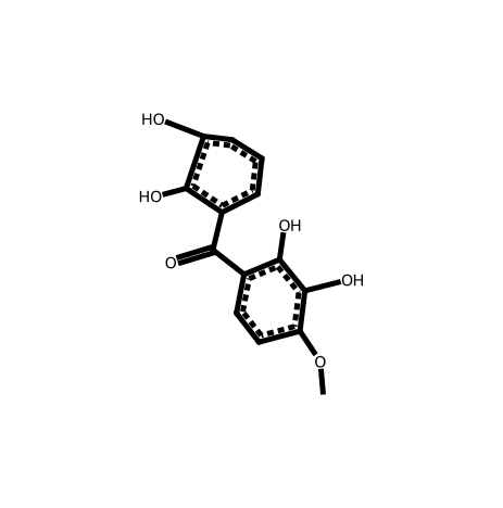 COc1ccc(C(=O)c2cccc(O)c2O)c(O)c1O